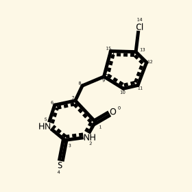 O=c1[nH]c(=S)[nH]cc1Cc1cccc(Cl)c1